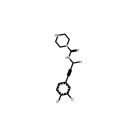 CCC(C#Cc1ccc(Cl)c(Cl)c1)NC(=O)N1CCNCC1